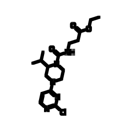 CCOC(=O)CCNC(=O)N1CCN(c2ccnc(Cl)n2)CC1C(C)C